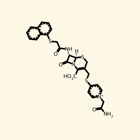 NC(=O)C[n+]1ccc(SCC2=C(C(=O)O)N3C(=O)[C@H](NC(=O)CSc4cccc5ccccc45)[C@H]3SC2)cc1